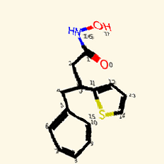 O=C(CC(Cc1ccccc1)c1cccs1)NO